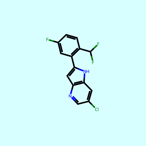 Fc1ccc(C(F)F)c(-c2cc3ncc(Cl)cc3[nH]2)c1